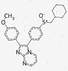 COc1ccc(-c2nc3ncccn3c2-c2ccc([S+]([O-])CC3CCCCC3)cc2)cc1